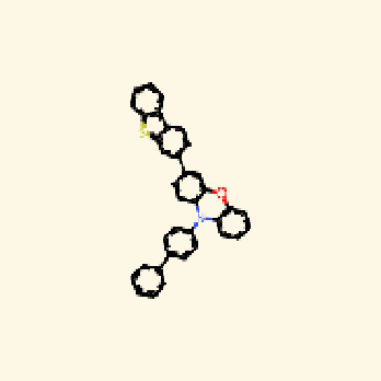 c1ccc(-c2ccc(N3c4ccccc4Oc4cc(-c5ccc6c(c5)sc5ccccc56)ccc43)cc2)cc1